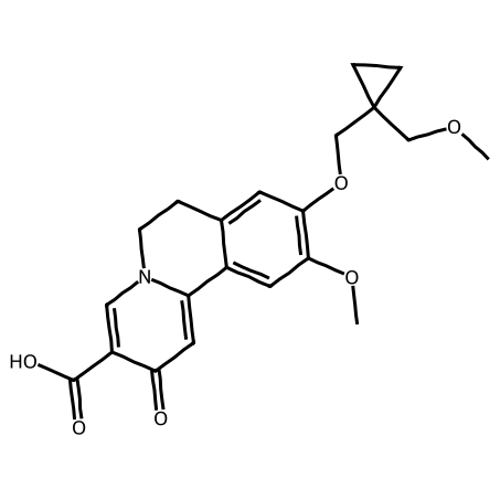 COCC1(COc2cc3c(cc2OC)-c2cc(=O)c(C(=O)O)cn2CC3)CC1